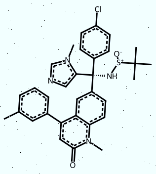 Cc1cccc(-c2cc(=O)n(C)c3ccc([C@](N[S+]([O-])C(C)(C)C)(c4ccc(Cl)cc4)c4cncn4C)cc23)c1